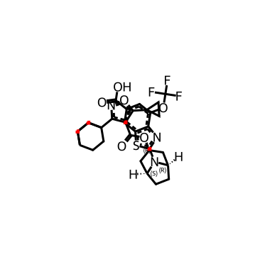 O=C(O)c1cc(OC(F)(F)F)c2nc(N3[C@@H]4CC[C@H]3C[C@@H](OC(=O)c3c(C56CCC(CC5)CC6)noc3C3CC3)C4)sc2c1